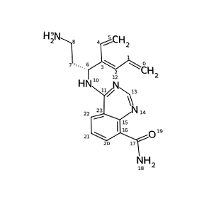 C=CC=C(C=C)[C@@H](CCN)Nc1ncnc2c(C(N)=O)cccc12